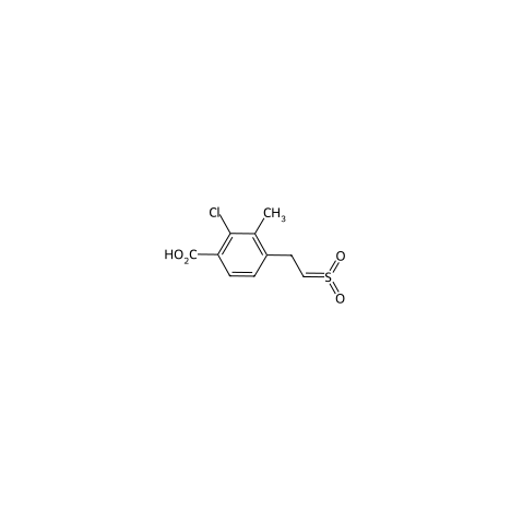 Cc1c(CC=S(=O)=O)ccc(C(=O)O)c1Cl